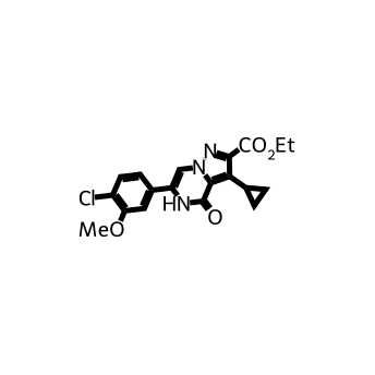 CCOC(=O)c1nn2cc(-c3ccc(Cl)c(OC)c3)[nH]c(=O)c2c1C1CC1